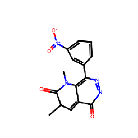 CC1C=C2C(=O)N=NC(c3cccc([N+](=O)[O-])c3)=C2N(C)C1=O